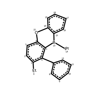 CCc1ccc2c(c1-c1ccccc1)B(C(C)C)c1ccccc1O2